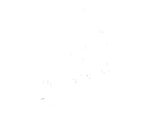 C[C@@H]1OCC2(CCN(c3nc4[nH]nc(-c5ccnc(OC(CO)CO)c5Cl)c4nc3CO)CC2)[C@@H]1N